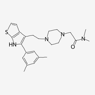 Cc1cc(C)cc(-c2[nH]c3sccc3c2CCN2CCN(CC(=O)N(C)C)CC2)c1